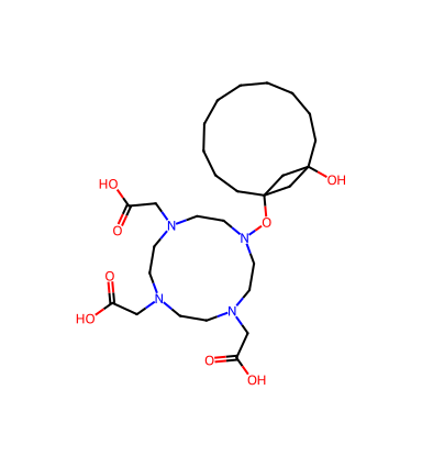 O=C(O)CN1CCN(CC(=O)O)CCN(OC23CCCCCCCCCCC(O)(C2)C3)CCN(CC(=O)O)CC1